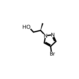 C[C@H](CO)n1cc(Br)cn1